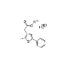 Cc1sc(-c2ccccc2)cc1CC(=O)[O][Al+2].[OH-].[OH-]